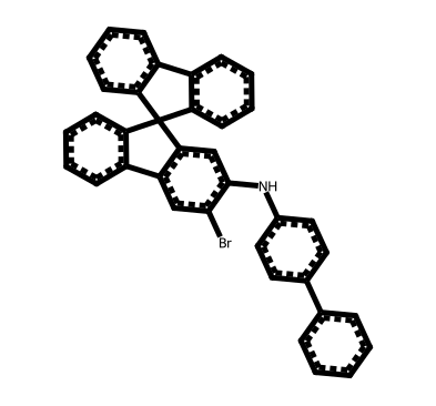 Brc1cc2c(cc1Nc1ccc(-c3ccccc3)cc1)C1(c3ccccc3-c3ccccc31)c1ccccc1-2